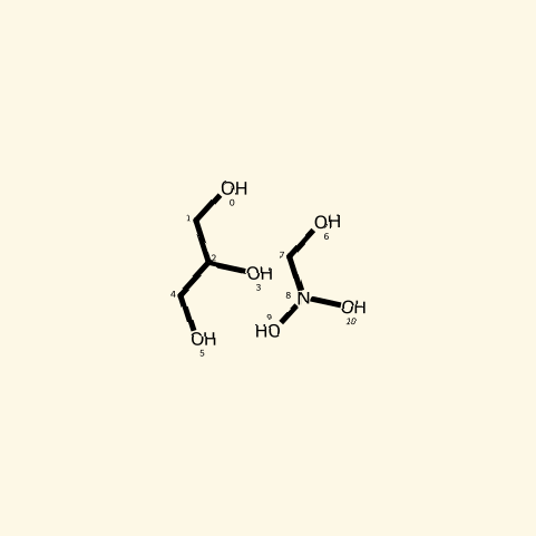 OCC(O)CO.OCN(O)O